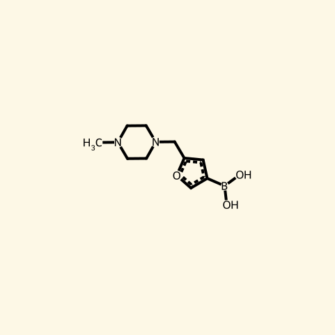 CN1CCN(Cc2cc(B(O)O)co2)CC1